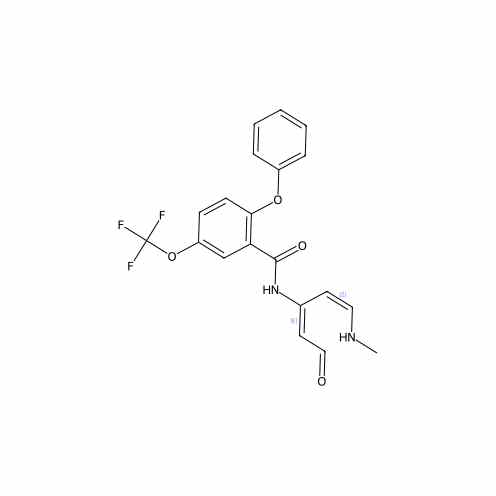 CN/C=C\C(=C/C=O)NC(=O)c1cc(OC(F)(F)F)ccc1Oc1ccccc1